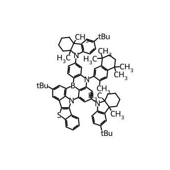 Cc1cc2c(cc1N1c3cc(N4c5ccc(C(C)(C)C)cc5C5(C)CCCCC45C)ccc3B3c4c1cc(N1c5ccc(C(C)(C)C)cc5C5(C)CCCCC15C)cc4-n1c4c3cc(C(C)(C)C)cc4c3sc4ccccc4c31)C(C)(C)CCC2(C)C